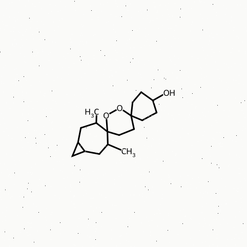 CC1CC2CC2CC(C)C12CCC1(CCC(O)CC1)OO2